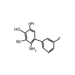 CCCc1cc(-c2cccc(F)c2)c(N)c(C#N)c1O